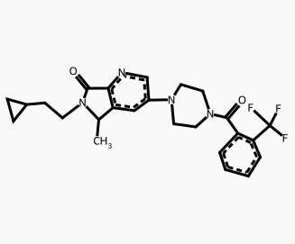 CC1c2cc(N3CCN(C(=O)c4ccccc4C(F)(F)F)CC3)cnc2C(=O)N1CCC1CC1